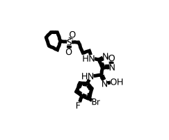 O=S(=O)(CCCNc1nonc1C(=NO)Nc1ccc(F)c(Br)c1)C1CCCCC1